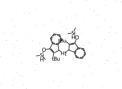 C[SiH](C)OC1=C(C(C)(C)C)[CH]([Hf][CH]2C(C(C)(C)C)=C(O[SiH](C)C)c3ccccc32)c2ccccc21